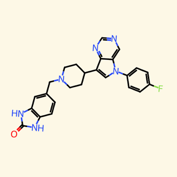 O=c1[nH]c2ccc(CN3CCC(c4cn(-c5ccc(F)cc5)c5cncnc45)CC3)cc2[nH]1